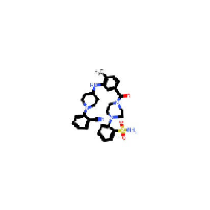 Cc1ccc(C(=O)N2CCN(c3ccccc3S(N)(=O)=O)CC2)cc1NC1CCN(c2ccccc2C#N)CC1